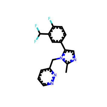 Cc1ncc(-c2ccc(F)c(C(F)F)c2)n1Cc1cccnn1